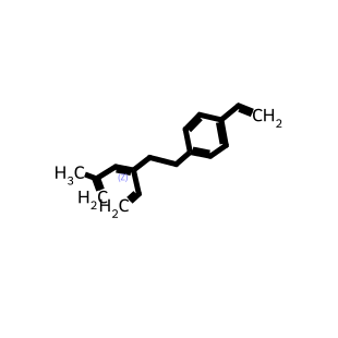 C=C/C(=C\C(=C)C)CCc1ccc(C=C)cc1